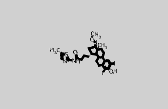 CO/N=C1\C[C@@H](CCCC(=O)Nc2ncc(C)s2)C2C3CCc4c(cc(I)c(O)c4I)C3CC[C@]12C